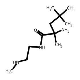 CNCCNC(=O)C(C)(N)CC(C)(C)C